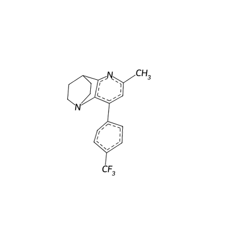 Cc1cc(-c2ccc(C(F)(F)F)cc2)c2c(n1)C1CCN2CC1